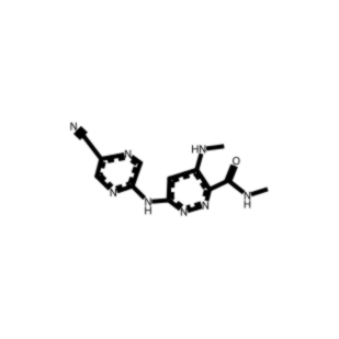 CNC(=O)c1nnc(Nc2cnc(C#N)cn2)cc1NC